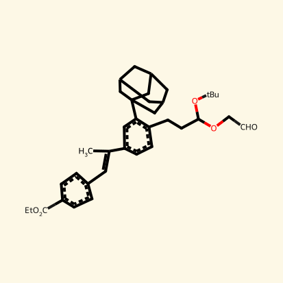 CCOC(=O)c1ccc(C=C(C)c2ccc(CCC(OCC=O)OC(C)(C)C)c(C34CC5CC(CC(C5)C3)C4)c2)cc1